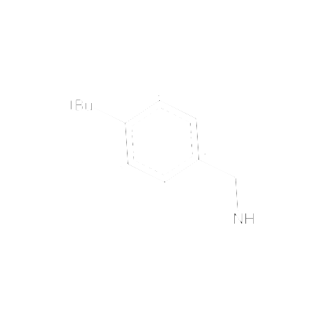 CC(C)(C)c1ccc(C[NH])cc1